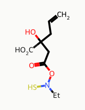 C=CCC(O)(CC(=O)ON(S)CC)C(=O)O